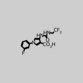 O=C(NCC(F)(F)F)Nc1cn(-c2cccc(F)c2)cc1C(=O)O